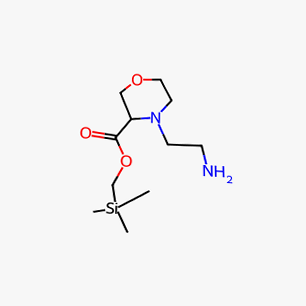 C[Si](C)(C)COC(=O)C1COCCN1CCN